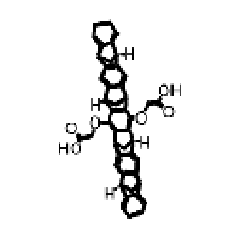 O=C(O)COc1c2c(c(OCC(=O)O)c3c1[C@H]1CC3c3cc4c(cc31)C1C[C@@H]4c3ccccc31)[C@H]1CC2c2cc3c(cc21)C1C[C@@H]3c2ccccc21